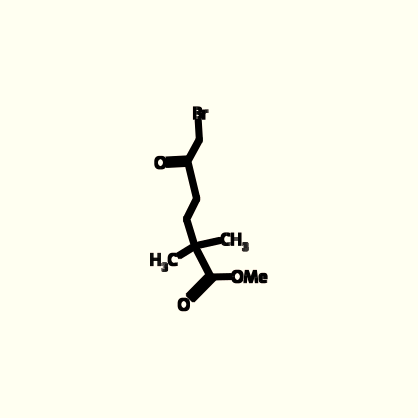 COC(=O)C(C)(C)CCC(=O)CBr